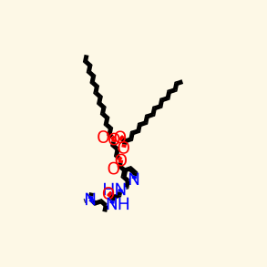 CCCCCCCCCCCCCCCC(=O)OCC(COC(=O)c1ccnc(CNCC(=O)NC(C)CCN(C)C)c1)OC(=O)CCCCCCCCCCCCCCC